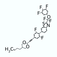 C=CCCC1COC(C#Cc2cc(F)c(-c3ccc4nc(C(F)(F)Oc5cc(F)c(F)c(F)c5)sc4c3)c(F)c2)OC1